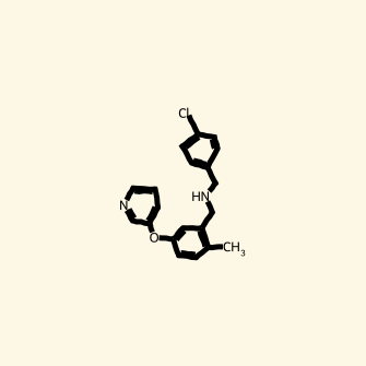 Cc1ccc(Oc2cccnc2)cc1CNCc1ccc(Cl)cc1